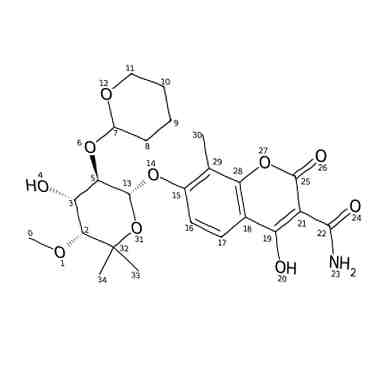 CO[C@@H]1[C@H](O)[C@@H](OC2CCCCO2)[C@H](Oc2ccc3c(O)c(C(N)=O)c(=O)oc3c2C)OC1(C)C